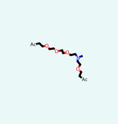 CC(=O)CCOCCOCCOCCN(C)CCOCCC(C)=O